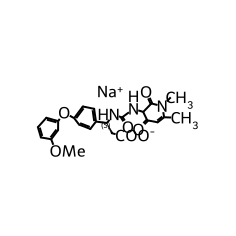 COc1cccc(Oc2ccc([C@H](CC(=O)[O-])NC(=O)NC3C(=O)C=C(C)N(C)C3=O)cc2)c1.[Na+]